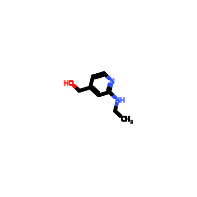 CCNc1cc(CO)ccn1